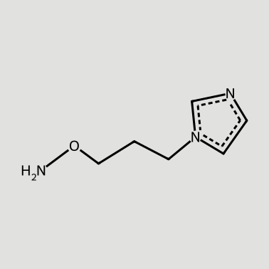 NOCCCn1ccnc1